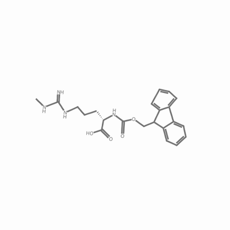 CNC(=N)NCCC[C@H](NC(=O)OCC1c2ccccc2-c2ccccc21)C(=O)O